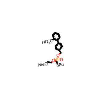 CCCCC(OCCOC)[PH](=O)OCc1ccc(-c2ccccc2C(=O)O)cc1